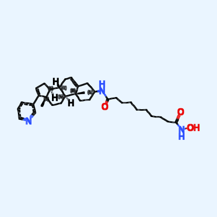 C[C@]12CC[C@H](NC(=O)CCCCCCCCC(=O)NO)CC1=CC[C@@H]1[C@@H]2CC[C@]2(C)C(c3cccnc3)=CC[C@@H]12